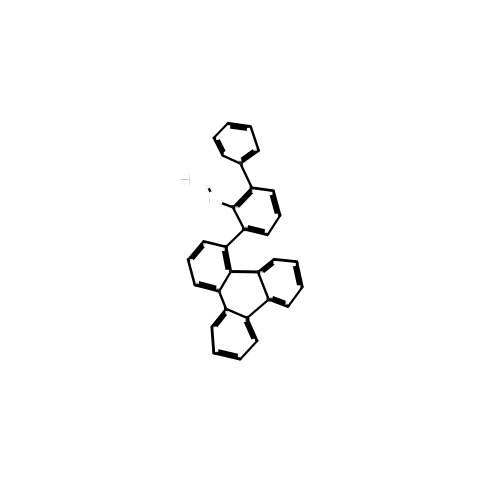 COc1c(-c2ccccc2)cccc1-c1cccc2c3ccccc3c3ccccc3c12